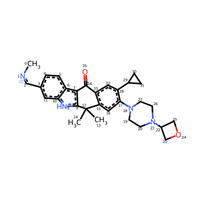 C/N=C\c1ccc2c3c([nH]c2c1)C(C)(C)c1cc(N2CCN(C4COC4)CC2)c(C2CC2)cc1C3=O